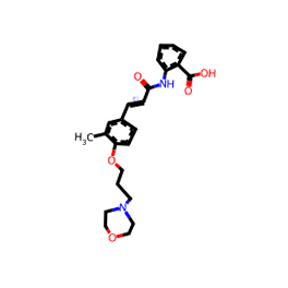 Cc1cc(/C=C/C(=O)Nc2ccccc2C(=O)O)ccc1OCCCN1CCOCC1